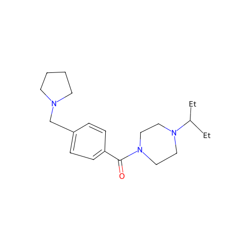 CCC(CC)N1CCN(C(=O)c2ccc(CN3CCCC3)cc2)CC1